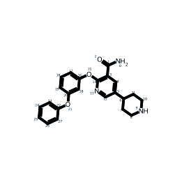 NC(=O)c1cc(C2CCNCC2)cnc1Oc1cccc(Oc2ccccc2)c1